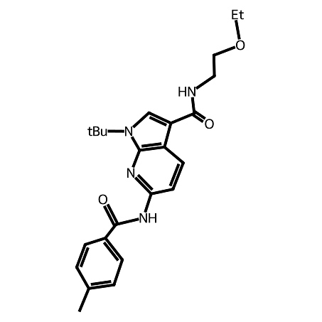 CCOCCNC(=O)c1cn(C(C)(C)C)c2nc(NC(=O)c3ccc(C)cc3)ccc12